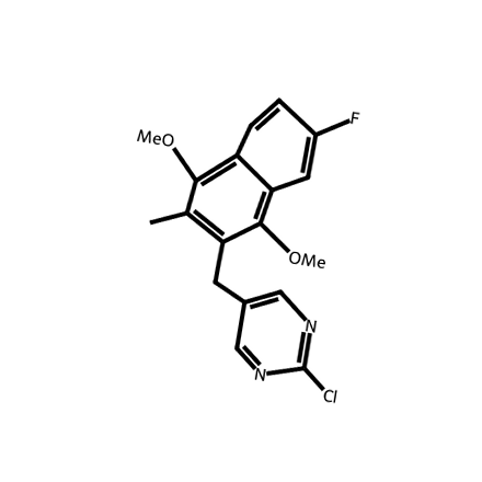 COc1c(C)c(Cc2cnc(Cl)nc2)c(OC)c2cc(F)ccc12